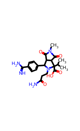 CC(C)C1(C(=O)O)C2C(=O)N(C)C(=O)C2C(c2ccc(C(=N)N)cc2)N1CCC(N)=O